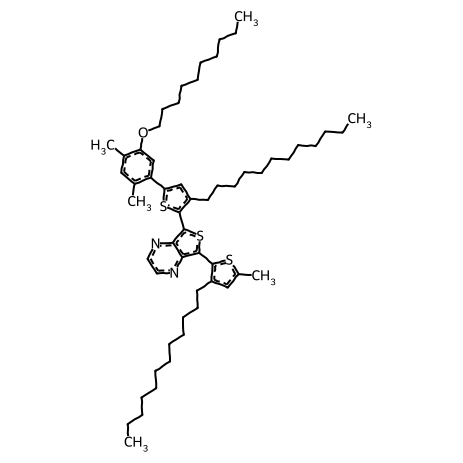 CCCCCCCCCCCCc1cc(C)sc1-c1sc(-c2sc(-c3cc(OCCCCCCCCCC)c(C)cc3C)cc2CCCCCCCCCCCC)c2nccnc12